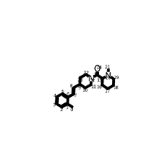 Cc1ccccc1/C=C/C1CCN(C(=O)C2CCCCN2C)CC1